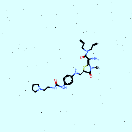 C=CCN(CC=C)C(=O)/C(N)=C1\S[C@H](CNc2ccc(NC(=O)NCCN3CCCC3)cc2)C(=O)N1CC